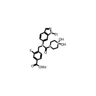 CCn1ncc2ccc(N(Cc3ccc(C(=O)OC)cc3F)C(=O)N3CCS(O)(O)CC3)cc21